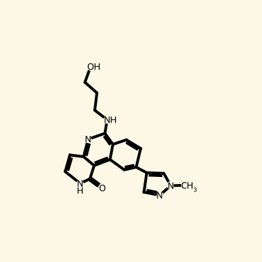 Cn1cc(-c2ccc3c(NCCCO)nc4cc[nH]c(=O)c4c3c2)cn1